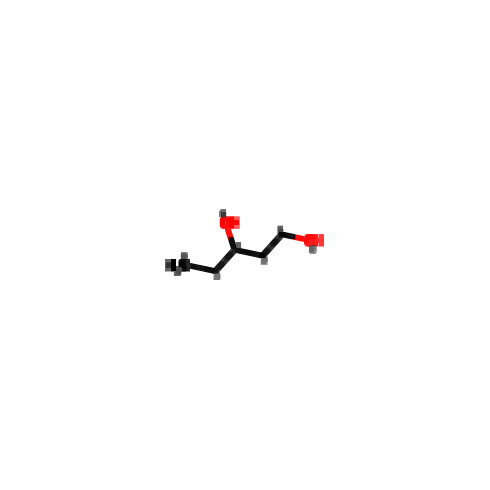 OCCC(O)C[SiH3]